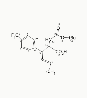 CC=CC(c1ccc(C(F)(F)F)cc1)C(NC(=O)OC(C)(C)C)C(=O)O